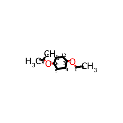 CCOC1CCC(OC(C)C)CC1